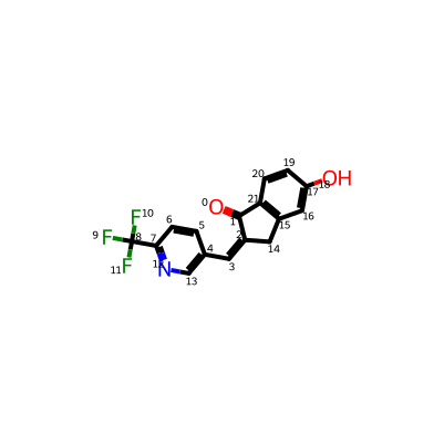 O=C1C(=Cc2ccc(C(F)(F)F)nc2)Cc2cc(O)ccc21